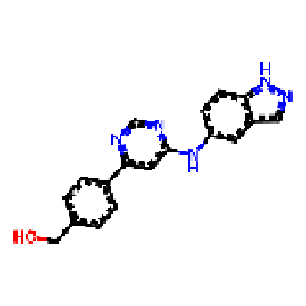 OCc1ccc(-c2cc(Nc3ccc4[nH]ncc4c3)ncn2)cc1